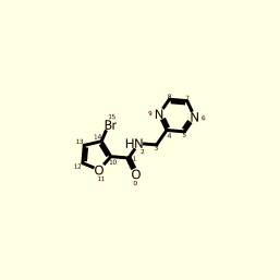 O=C(NCc1cnccn1)c1occc1Br